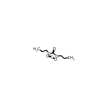 CCCOC(=O)OCCC.O=C=O